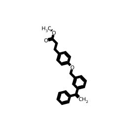 C=C(c1ccccc1)c1cccc(COc2ccc(CCC(=O)OC)cc2)c1